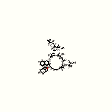 C=C[C@@H]1C[C@]1(NC(=O)[C@@H]1C[C@@H]2CN1C(=O)[C@H](C(C)(C)C)NC(=O)O[C@@H]1C[C@H]1CCCCCc1c(nc3ccccc3c1OC1C3CNCC1COC3)O2)C(=O)NS(=O)(=O)C1(C)CC1.O=C(O)C(F)(F)F